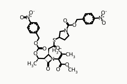 COC(=O)C(=C(C)C)N1C(=O)[C@H]([C@@H](C)OC(=O)OCc2ccc([N+](=O)[O-])cc2)[C@H]1CC(=O)SC1CCN(C(=O)OCc2ccc([N+](=O)[O-])cc2)C1